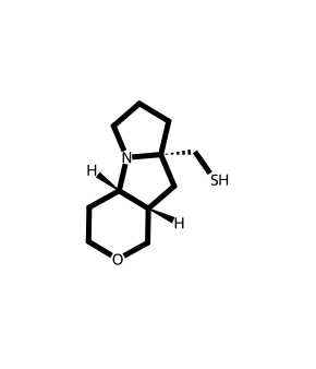 SC[C@@]12CCCN1[C@H]1CCOC[C@H]1C2